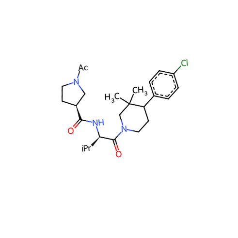 CC(=O)N1CC[C@H](C(=O)N[C@@H](C(=O)N2CCC(c3ccc(Cl)cc3)C(C)(C)C2)C(C)C)C1